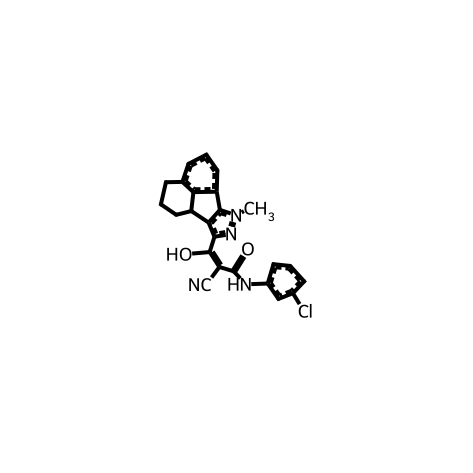 Cn1nc(C(O)=C(C#N)C(=O)Nc2cccc(Cl)c2)c2c1-c1cccc3c1C2CCC3